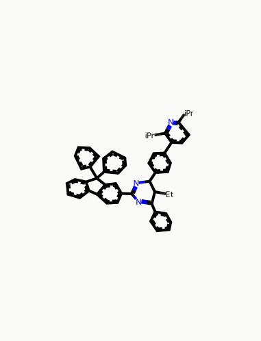 CCC1C(c2ccccc2)=NC(c2ccc3c(c2)C(c2ccccc2)(c2ccccc2)c2ccccc2-3)=NC1c1ccc(-c2ccc(C(C)C)nc2C(C)C)cc1